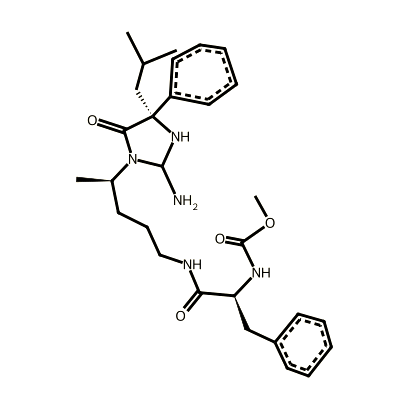 COC(=O)N[C@@H](Cc1ccccc1)C(=O)NCCC[C@@H](C)N1C(=O)[C@@](CC(C)C)(c2ccccc2)NC1N